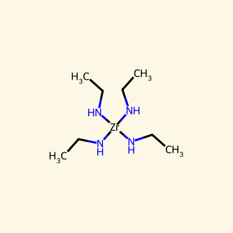 CC[NH][Zr]([NH]CC)([NH]CC)[NH]CC